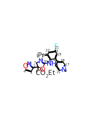 CCOC(=O)C1(c2ccon2)CN=C(Nc2c(-c3ccncc3)cc(F)cc2C(C)C)O1